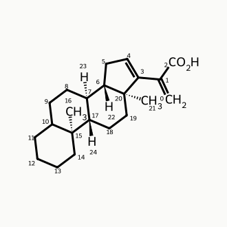 C=C(C(=O)O)C1=CC[C@H]2[C@@H]3CCC4CCCC[C@]4(C)[C@H]3CC[C@]12C